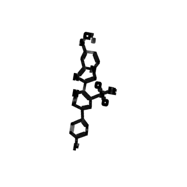 CCS(=O)(=O)c1cc(-c2ccc(F)cc2)cnc1-c1cn2ccc(SC(F)(F)F)cc2n1